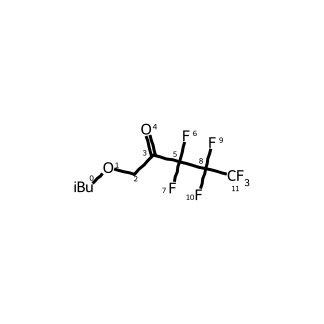 CCC(C)OCC(=O)C(F)(F)C(F)(F)C(F)(F)F